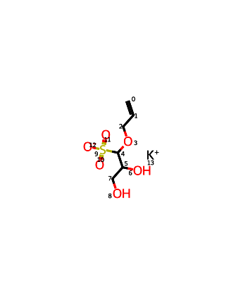 C=CCOC(C(O)CO)S(=O)(=O)[O-].[K+]